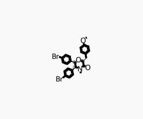 COc1ccc(C[C@H]2O[C@H](c3ccc(Br)cc3)[C@H](c3ccc(Br)cc3)N(C)C2=O)cc1